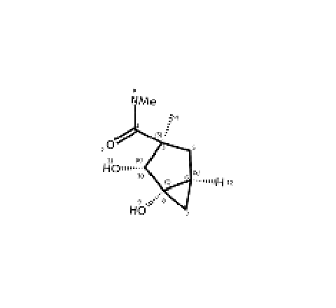 CNC(=O)[C@@]1(C)C[C@H]2C[C@@]2(O)[C@@H]1O